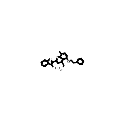 Cc1c(-c2cc(CC(=O)O)c3c(OCCc4ccccc4)ccc(C)c3n2)oc2ccccc12